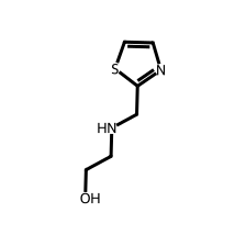 OCCNCc1nccs1